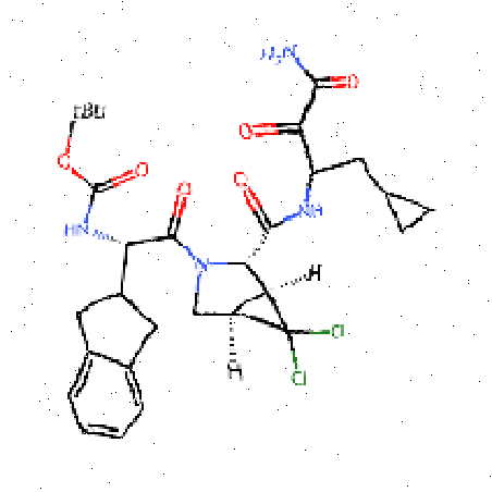 CC(C)(C)OC(=O)N[C@H](C(=O)N1C[C@H]2[C@@H]([C@H]1C(=O)NC(CC1CC1)C(=O)C(N)=O)C2(Cl)Cl)C1Cc2ccccc2C1